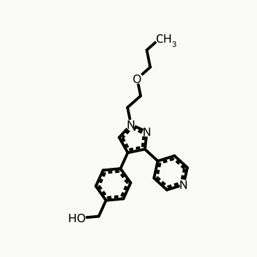 CCCOCCn1cc(-c2ccc(CO)cc2)c(-c2ccncc2)n1